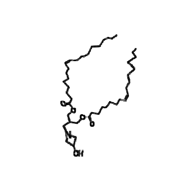 CCCCCCCC/C=C\CCCCCCCC(=O)OCC(COC(=O)CCCCCCC/C=C\CCCCCCCC)CN1CC(O)C1